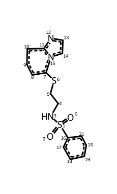 O=S(=O)(NCCSc1cccc2nccn12)c1ccccc1